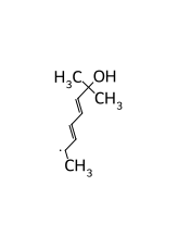 C[CH]C=CC=CC(C)(C)O